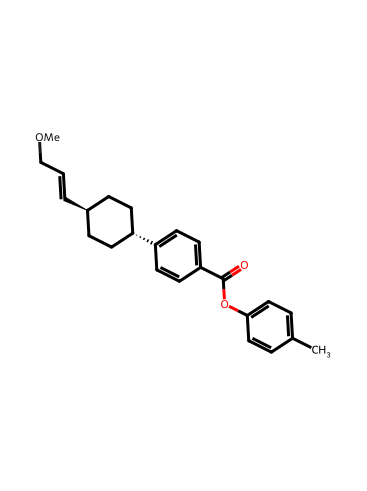 COC/C=C/[C@H]1CC[C@H](c2ccc(C(=O)Oc3ccc(C)cc3)cc2)CC1